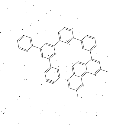 Cc1ccc2ccc3c(-c4cccc(-c5cccc(-c6cc(-c7ccccn7)nc(-c7cc#ccc7)n6)c5)c4)cc(C)nc3c2n1